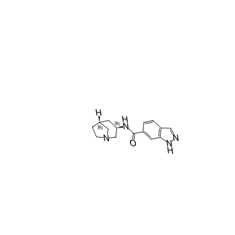 O=C(N[C@@H]1C[C@H]2CCN(C2)C1)c1ccc2cn[nH]c2c1